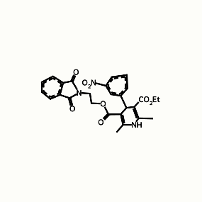 CCOC(=O)C1=C(C)NC(C)=C(C(=O)OCCN2C(=O)c3ccccc3C2=O)C1c1cccc([N+](=O)[O-])c1